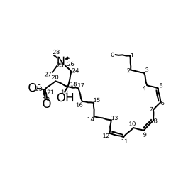 CCCCC/C=C\C/C=C\C/C=C\CCCCCC(O)(CC(=O)[O-])C[N+](C)(C)C